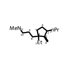 C=C1C(CCC)CCC1(CC)CCCNC